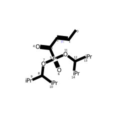 C/C=C/C(=O)P(=O)(OC(C(C)C)C(C)C)OC(C(C)C)C(C)C